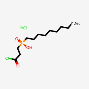 CCCCCCCCCCCCCCCCCCP(=O)(O)CCC(=O)Cl.Cl